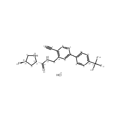 Cl.N#Cc1cnc(-c2ccc(C(F)(F)F)cc2)cc1CNC(=O)[C@@H]1C[C@@H](F)CN1